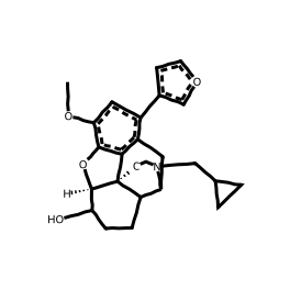 COc1cc(-c2ccoc2)c2c3c1O[C@@H]1C(O)CCC4C(C2)N(CC2CC2)CC[C@]341